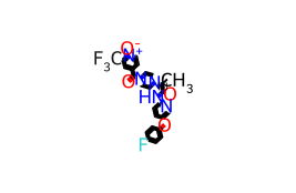 C[C@@H](C(=O)Nc1ccc(Oc2ccc(F)cc2)cn1)N1CCN(C(=O)c2cc[n+]([O-])c(C(F)(F)F)c2)CC1